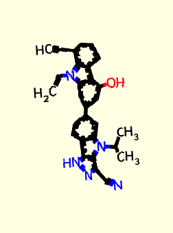 C#Cc1cccc2c3c(O)cc(-c4ccc5c6[nH]nc(C#N)c6n(C(C)C)c5c4)cc3n(C=C)c12